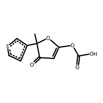 CC1(c2ccsc2)OC(OC(=O)O)=CC1=O